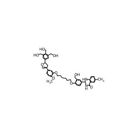 COc1ccc(C2=NOC(c3cc(CO)c(CO)c(CO)c3)C2)cc1OCCCCCCOc1ccc(C2NC(=O)c3cc(C)ccc3N2)cc1CO